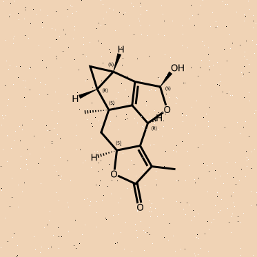 CC1=C2[C@@H]3O[C@H](O)C4=C3[C@@](C)(C[C@@H]2OC1=O)[C@@H]1C[C@H]41